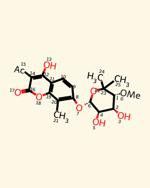 CO[C@@H]1[C@@H](O)[C@@H](O)[C@H](Oc2ccc3c(O)c(C(C)=O)c(=O)oc3c2C)OC1(C)C